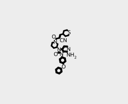 N#C/C(=C\C1CCSCC1)C(=O)N1CCC[C@@H](n2c(=O)n(-c3ccc(Oc4ccccc4)cc3)c3c(N)nccc32)C1